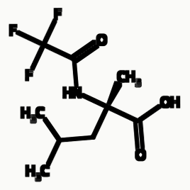 CC(C)C[C@](C)(NC(=O)C(F)(F)F)C(=O)O